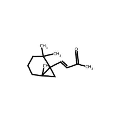 CC(=O)C=CC12CC1(C)CCCC2(C)C